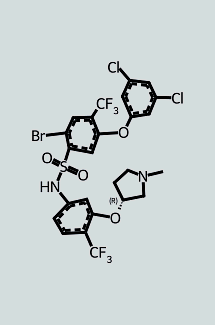 CN1CC[C@@H](Oc2cc(NS(=O)(=O)c3cc(Oc4cc(Cl)cc(Cl)c4)c(C(F)(F)F)cc3Br)ccc2C(F)(F)F)C1